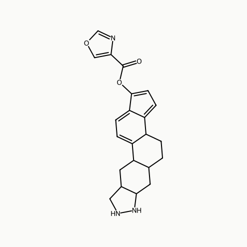 O=C(OC1=CC=C2C1=CC=C1C2CCC2CC3NNCC3CC12)c1cocn1